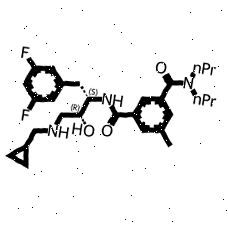 CCCN(CCC)C(=O)c1cc(C)cc(C(=O)N[C@@H](Cc2cc(F)cc(F)c2)[C@H](O)CNCC2CC2)c1